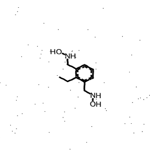 CCc1c(CNO)cccc1CNO